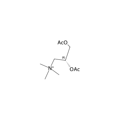 CC(=O)OC[C@@H](C[N+](C)(C)C)OC(C)=O